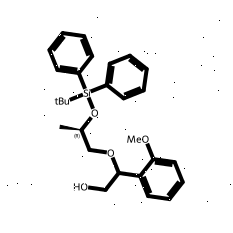 COc1ccccc1C(CO)OC[C@@H](C)O[Si](c1ccccc1)(c1ccccc1)C(C)(C)C